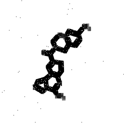 CC(C)CN(Cc1ccc(C(F)(F)F)cn1)C(=O)c1ccc2nc(N)n3cncc3c2c1